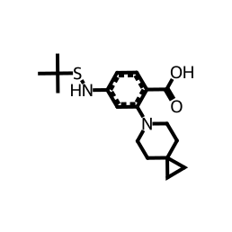 CC(C)(C)SNc1ccc(C(=O)O)c(N2CCC3(CC2)CC3)c1